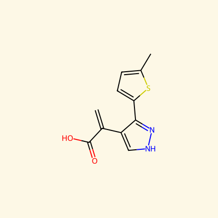 C=C(C(=O)O)c1c[nH]nc1-c1ccc(C)s1